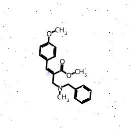 COC(=O)/C(=C\c1ccc(OC)cc1)CN(C)Cc1ccccc1